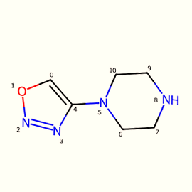 c1onnc1N1CCNCC1